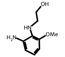 COc1cccc(N)c1NCCO